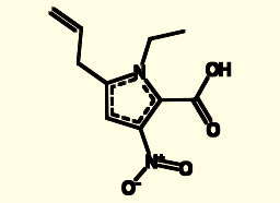 C=CCc1cc([N+](=O)[O-])c(C(=O)O)n1CC